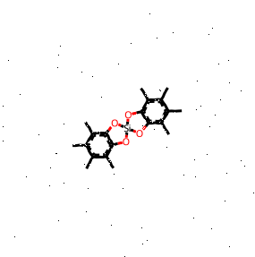 Cc1c(C)c(C)c2c(c1C)O[Si]1(O2)Oc2c(C)c(C)c(C)c(C)c2O1